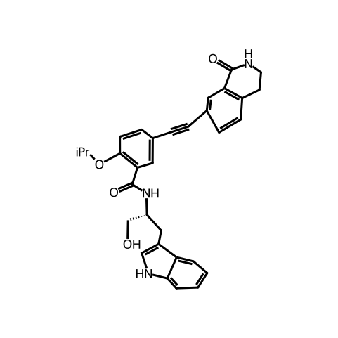 CC(C)Oc1ccc(C#Cc2ccc3c(c2)C(=O)NCC3)cc1C(=O)N[C@@H](CO)Cc1c[nH]c2ccccc12